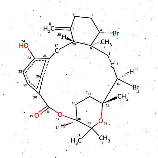 C=C1CC[C@H](Br)[C@@]2(C)CC[C@@H](Br)[C@@]3(C)CC[C@H](OC(=O)c4ccc(O)c(c4)C[C@H]12)C(C)(C)O3